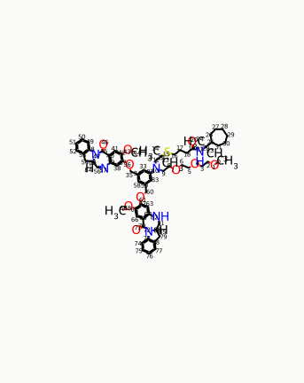 COCCOCCOCCN(CC(C)(C)SCCCC(=O)NC(C)(C)C1CCCCCC1)c1cc(COc2cc3c(cc2OC)C(=O)N2c4ccccc4C[C@H]2C=N3)cc(COc2cc3c(cc2OC)C(=O)N2c4ccccc4C[C@H]2CN3)c1